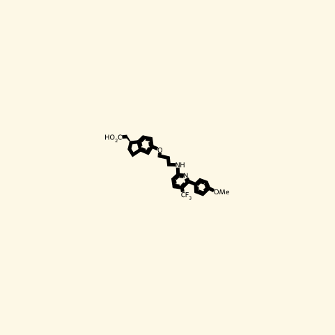 COc1ccc(-c2nc(NCCCOc3ccc4c(c3)CC[C@H]4CC(=O)O)ccc2C(F)(F)F)cc1